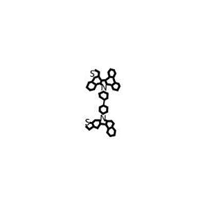 c1ccc2c(c1)ccc1c2c2cc3ccsc3cc2n1-c1ccc(-c2ccc(-n3c4c5ccccc5c5ccccc5c4c4c5ccsc5c5ccccc5c43)cc2)cc1